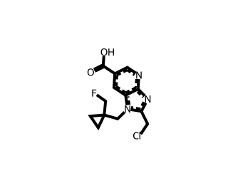 O=C(O)c1cnc2nc(CCl)n(CC3(CF)CC3)c2c1